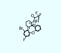 O=C(N[C@@H]1CCCN2c3c(Br)cc(F)cc3Oc3ccccc3[C@@H]12)C(F)(F)F